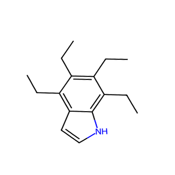 CCc1c(CC)c(CC)c2[nH]ccc2c1CC